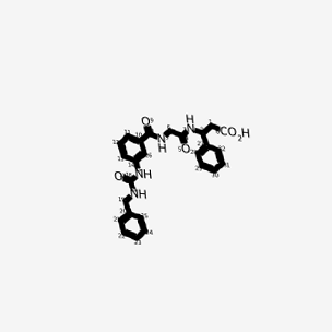 O=C(O)CC(NC(=O)CNC(=O)c1cccc(NC(=O)NCc2ccccc2)c1)c1ccccc1